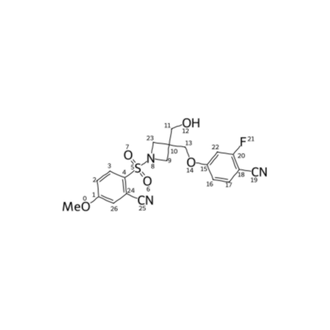 COc1ccc(S(=O)(=O)N2CC(CO)(COc3ccc(C#N)c(F)c3)C2)c(C#N)c1